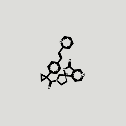 O=C1O[C@]2(CCN(C(=O)C3(c4ccc(C=Cc5ccccn5)cc4)CC3)C2)c2ccncc21